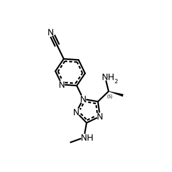 CNc1nc([C@H](C)N)n(-c2ccc(C#N)cn2)n1